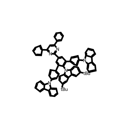 CC(C)(C)c1ccc2c(c1)c1cc(C(C)(C)C)ccc1n2-c1c(-c2ccc(-n3c4ccccc4c4ccccc43)cc2)cc(-c2nc(-c3ccccc3)cc(-c3ccccc3)n2)cc1-c1ccc(-n2c3ccccc3c3ccccc32)cc1